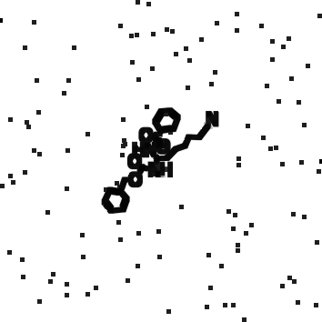 N#CCCCCCC(NC(=O)OCc1ccccc1)NS(=O)(=O)c1ccccc1